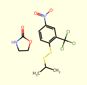 CC(C)SSc1ccc([N+](=O)[O-])cc1C(Cl)(Cl)Cl.O=C1NCCO1